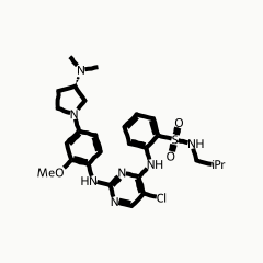 COc1cc(N2CC[C@H](N(C)C)C2)ccc1Nc1ncc(Cl)c(Nc2ccccc2S(=O)(=O)NCC(C)C)n1